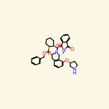 O=C(OCc1ccccc1)[C@H]1CCCC[C@H]1C(=O)N1CCc2cccc(O[C@H]3CCNC3)c2[C@H]1CN1C(=O)c2ccccc2C1=O